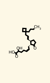 CCCCC1(C/C=C/[C@H]2CCC(=O)[C@@H]2C/C=C\CCC(O)C(=O)O)CCC1